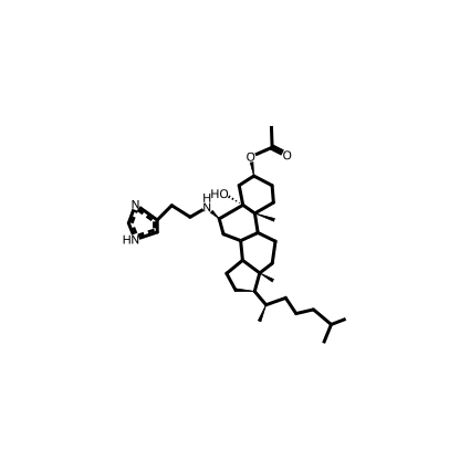 CC(=O)O[C@H]1CC[C@]2(C)C3CC[C@@]4(C)C(CC[C@@H]4[C@H](C)CCCC(C)C)C3C[C@@H](NCCc3c[nH]cn3)[C@@]2(O)C1